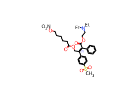 CCN(CC)CCOC(=O)/C(=C(\COC(=O)CCCCCO[N+](=O)[O-])c1ccc(S(C)(=O)=O)cc1)c1ccccc1